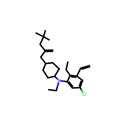 C=Cc1cc(Cl)cc(N(CC)C2CCC(CC(=C)CC(C)(C)C)CC2)c1CC